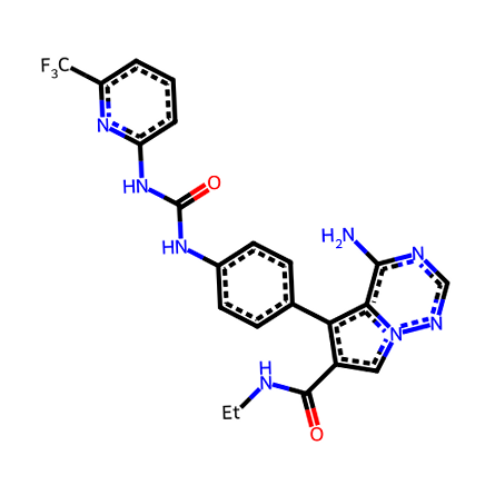 CCNC(=O)c1cn2ncnc(N)c2c1-c1ccc(NC(=O)Nc2cccc(C(F)(F)F)n2)cc1